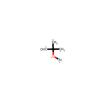 CC(=O)OC(C)(C)C=O